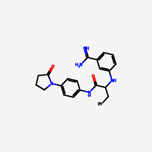 CC(C)CC(Nc1cccc(C(=N)N)c1)C(=O)Nc1ccc(N2CCCC2=O)cc1